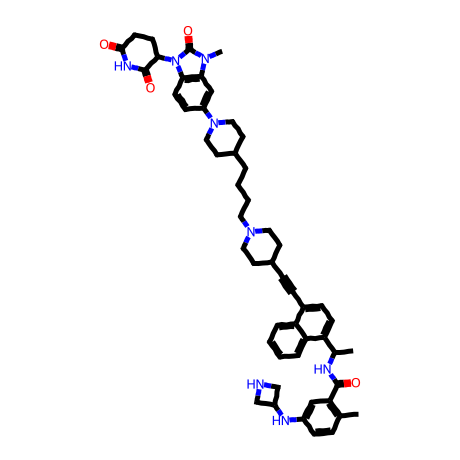 Cc1ccc(NC2CNC2)cc1C(=O)NC(C)c1ccc(C#CC2CCN(CCCCC3CCN(c4ccc5c(c4)n(C)c(=O)n5C4CCC(=O)NC4=O)CC3)CC2)c2ccccc12